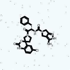 Nc1[nH]nc2c1CN(C(=O)N[C@@H](Cc1ccccc1)C(=O)N1CCC3(C1)OC(=O)Nc1ccc(Cl)cc13)C2